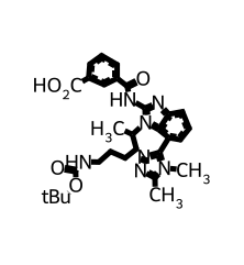 Cc1nnc(-c2cccc3nc(NC(=O)c4cccc(C(=O)O)c4)n(C(C)CCCCNC(=O)OC(C)(C)C)c23)n1C